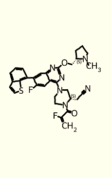 C=C(F)C(=O)N1CCN(c2nc(OC[C@@H]3CCCN3C)nc3cc(-c4cccc5ccsc45)c(F)cc23)C[C@@H]1CC#N